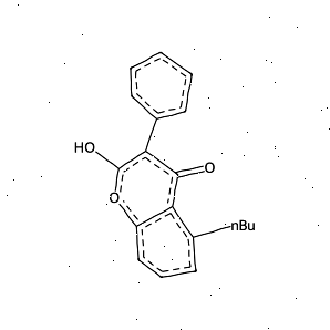 CCCCc1cccc2oc(O)c(-c3ccccc3)c(=O)c12